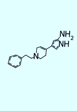 Nc1cc(C2=CCN(CCc3ccccc3)CC2)c[nH]1